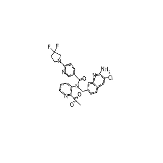 CS(=O)(=O)c1ncccc1N(Cc1ccc2cc(Cl)c(N)nc2c1)C(=O)c1ccc(N2CCC(F)(F)C2)nc1